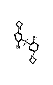 CS(C)(c1cc(N2CCC2)ccc1Br)c1cc(N2CCC2)ccc1Br